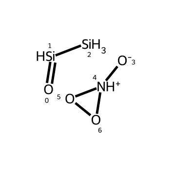 O=[SiH][SiH3].[O-][NH+]1OO1